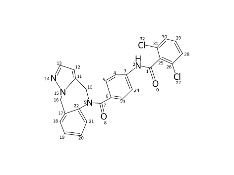 O=C(Nc1ccc(C(=O)N2Cc3ccnn3Cc3ccccc32)cc1)c1c(Cl)cccc1Cl